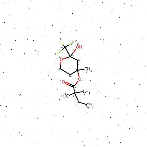 CCC(C)(C)C(=O)OC1(C)CCOC(O)(C(F)(F)F)C1